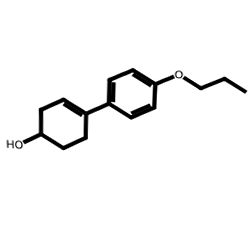 CCCOc1ccc(C2=CCC(O)CC2)cc1